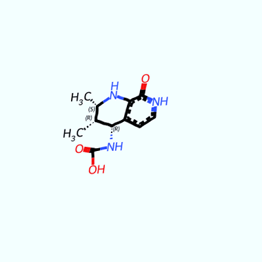 C[C@@H]1[C@H](C)Nc2c(cc[nH]c2=O)[C@@H]1NC(=O)O